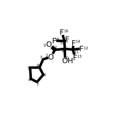 O=C(OCC1CCCC1)C(O)(C(F)(F)F)C(F)(F)F